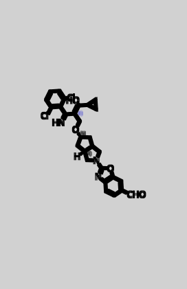 N=C(/C(CO[C@H]1CC2CN(c3nc4ccc(C=O)cc4o3)C[C@@H]2C1)=C(\O)C1CC1)c1c(Cl)cccc1Cl